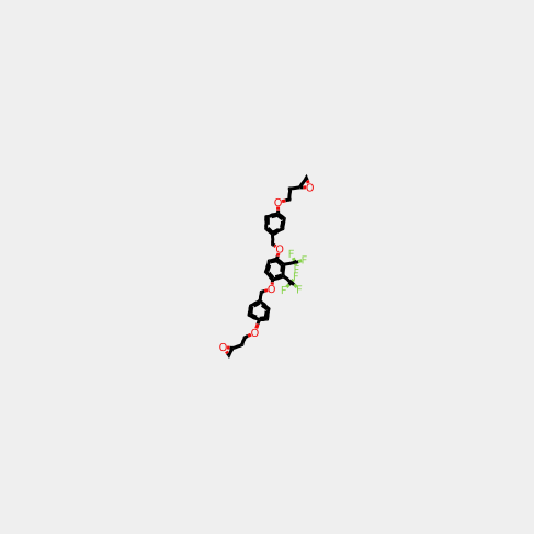 FC(F)(F)c1c(OCc2ccc(OCCC3CO3)cc2)ccc(OCc2ccc(OCCC3CO3)cc2)c1C(F)(F)F